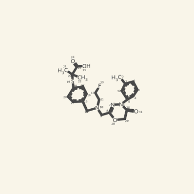 Cc1cccc(N2N=C(CN(CCF)Cc3ccc(SC(C)(C)C(=O)O)cc3)OCC2=O)c1